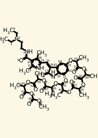 CCN(CC)CCNC(=O)c1c(C)[nH]c(/C=C2\C(=O)Nc3ccc(OC(C)C(=O)OC(C)C(=O)OC(C)C(=O)OC(C)C(=O)OC(C)C(=O)OC(C)C(=O)OC(C)C(=O)OC(=O)OC)cc32)c1C